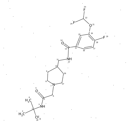 CC(C)(NC(=O)CN1CCC(CNC(=O)c2ccc(F)c(OC(F)F)c2)CC1)C(F)(F)F